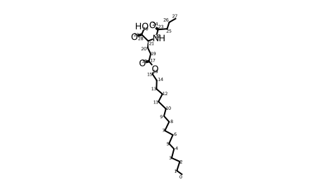 CCCCCCCCCCCCCCCCOC(=O)CC[C@H](NC(=O)CCC)C(=O)O